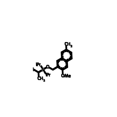 COc1cc2ccc(C)cc2cc1CO[Si](C(C)C)(C(C)C)C(C)I